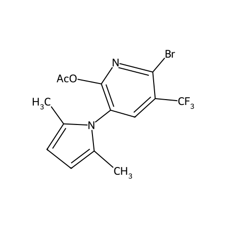 CC(=O)Oc1nc(Br)c(C(F)(F)F)cc1-n1c(C)ccc1C